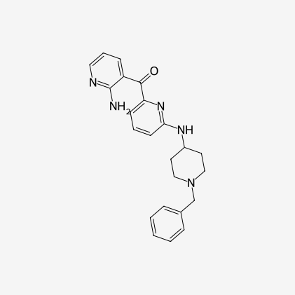 Nc1ncccc1C(=O)c1cccc(NC2CCN(Cc3ccccc3)CC2)n1